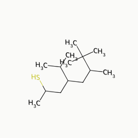 CC(S)CC(CC(C)C(C)(C)C)C(C)C